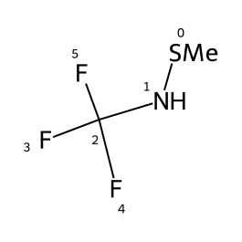 CSNC(F)(F)F